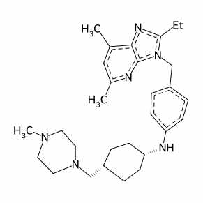 CCc1nc2c(C)cc(C)nc2n1Cc1ccc(N[C@H]2CC[C@@H](CN3CCN(C)CC3)CC2)cc1